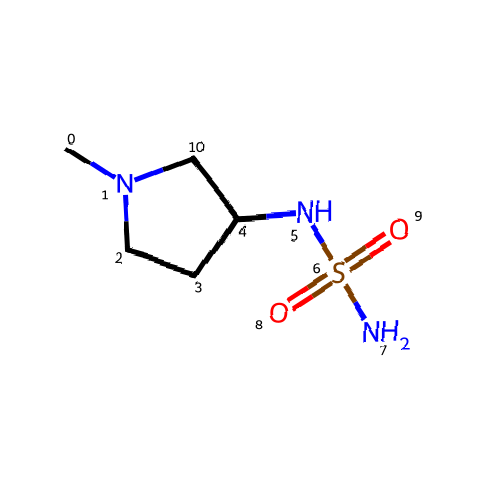 CN1CCC(NS(N)(=O)=O)C1